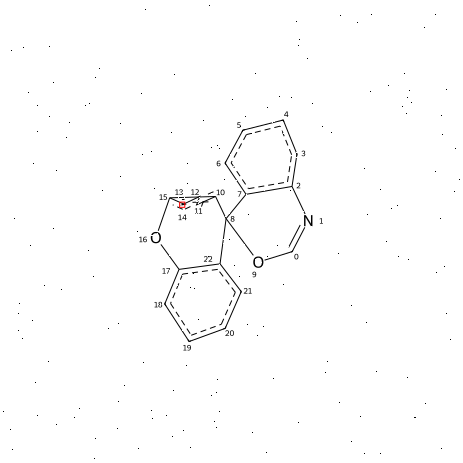 C1=Nc2ccccc2C2(O1)c1ccccc1Oc1ccccc12